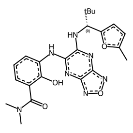 Cc1ccc([C@H](Nc2nc3nonc3nc2Nc2cccc(C(=O)N(C)C)c2O)C(C)(C)C)o1